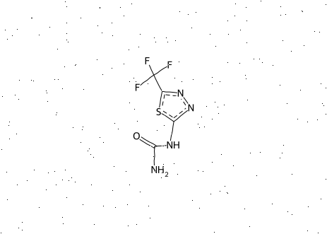 NC(=O)Nc1nnc(C(F)(F)F)s1